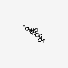 Cl.Cl.Fc1ccc(N2CCN(C3CCC4(CC3)OCc3c(F)cccc34)CC2)cc1